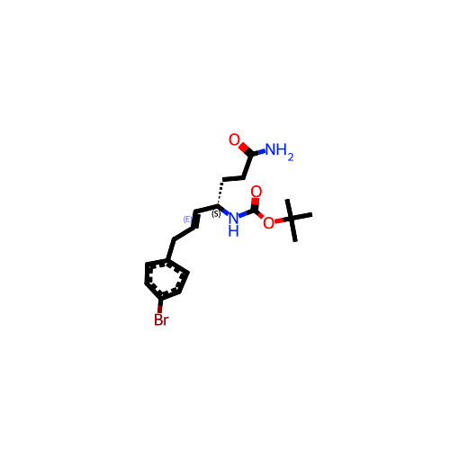 CC(C)(C)OC(=O)N[C@H](/C=C/Cc1ccc(Br)cc1)CCC(N)=O